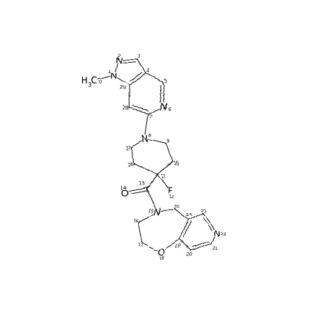 Cn1ncc2cnc(N3CCC(F)(C(=O)N4CCOc5ccncc5C4)CC3)cc21